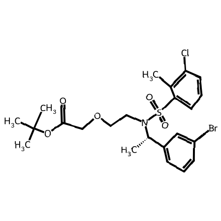 Cc1c(Cl)cccc1S(=O)(=O)N(CCOCC(=O)OC(C)(C)C)[C@@H](C)c1cccc(Br)c1